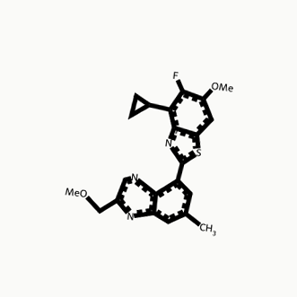 COCc1cnc2c(-c3nc4c(C5CC5)c(F)c(OC)cc4s3)cc(C)cc2n1